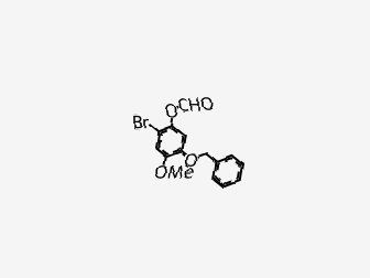 COc1cc(Br)c(OC=O)cc1OCc1ccccc1